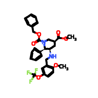 COC(=O)[C@H]1C[C@H](NCc2cc(OC(F)(F)F)ccc2OC)[C@H](c2ccccc2)N(C(=O)OCc2ccccc2)C1